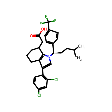 CC(C)CC[C@H](c1ccc(C(F)(F)F)cc1)n1cc(-c2ccc(Cl)cc2Cl)c2c1C(CC(=O)O)CCC2